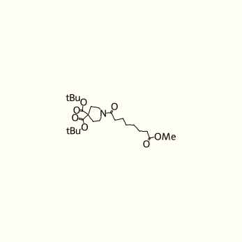 COC(=O)CCCCCCC(=O)N1CCC(C(=O)OC(C)(C)C)(C(=O)OC(C)(C)C)CC1